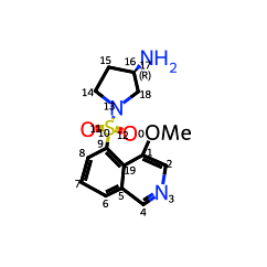 COc1cncc2cccc(S(=O)(=O)N3CC[C@@H](N)C3)c12